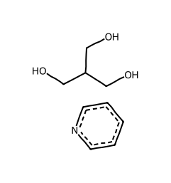 OCC(CO)CO.c1ccncc1